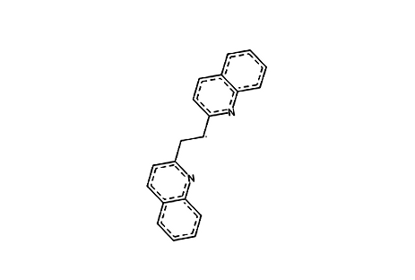 [CH](Cc1ccc2ccccc2n1)c1ccc2ccccc2n1